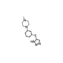 CN1CCN(c2cccc(Sc3cnn[nH]3)c2)CC1